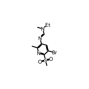 CCN(C)/C=N/c1cc(Br)c(S(C)(=O)=O)nc1C